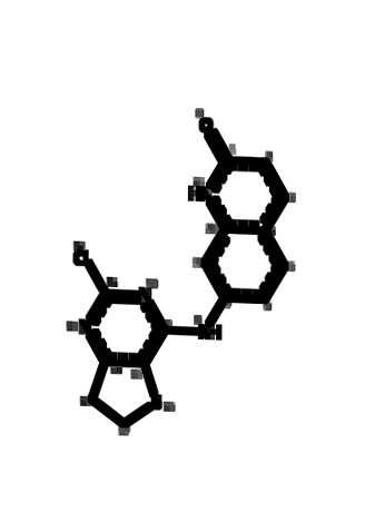 O=c1ccc2ccc(Nc3nc(Cl)nc4c3SCC4)cc2[nH]1